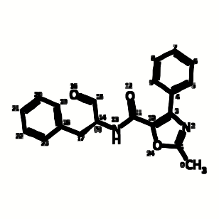 Cc1nc(-c2ccccc2)c(C(=O)N[C@H](C=O)Cc2ccccc2)o1